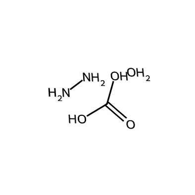 NN.O.O=C(O)O